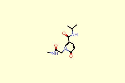 CNC(=O)Cn1cc(C(=O)NC(C)C)ccc1=O